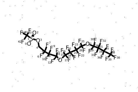 O=S(=O)(OCC(F)(F)C(F)(F)C(F)(F)OC(F)(F)C(F)(F)C(F)(F)C(F)(F)OC(F)(F)C(F)(F)C(F)(F)C(F)(F)F)C(F)(F)F